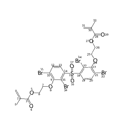 C=C(C)C(=O)OCCOc1c(Br)ccc(S(=O)(=O)c2ccc(Br)c(OCCOC(=O)C(=C)C)c2Br)c1Br